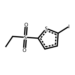 CCS(=O)(=O)c1ccc(I)s1